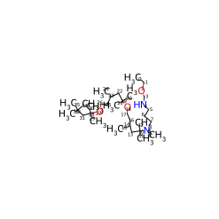 CCOCNCCCN(C)C(C)(C)CC(C)CCOC(C)(C)CC(C)CCOC(C)(C)CC(C)(C)C